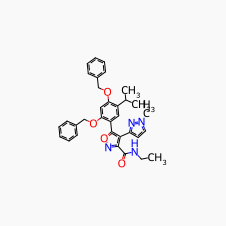 CCNC(=O)c1noc(-c2cc(C(C)C)c(OCc3ccccc3)cc2OCc2ccccc2)c1-c1ccn(C)n1